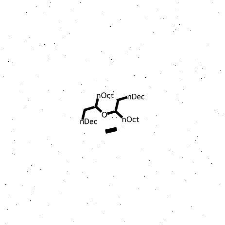 C=C.CCCCCCCCCCCC(CCCCCCCC)OC(CCCCCCCC)CCCCCCCCCCC